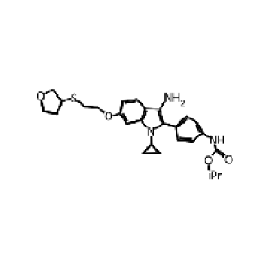 CC(C)OC(=O)Nc1ccc(-c2c(N)c3ccc(OCCSC4CCOC4)cc3n2C2CC2)cc1